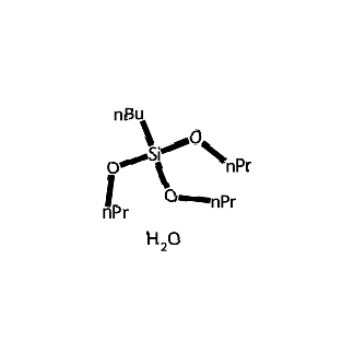 CCCC[Si](OCCC)(OCCC)OCCC.O